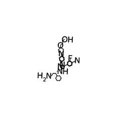 N#Cc1ccc(-c2cc(NC[C@@H](CCN)C3CCCCC3)nn2-c2ccc(N3CCC(OCCO)CC3)cc2)cc1F